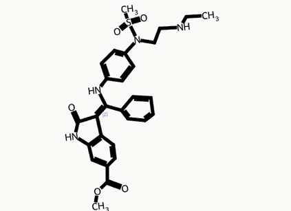 CCNCCN(c1ccc(N/C(=C2\C(=O)Nc3cc(C(=O)OC)ccc32)c2ccccc2)cc1)S(C)(=O)=O